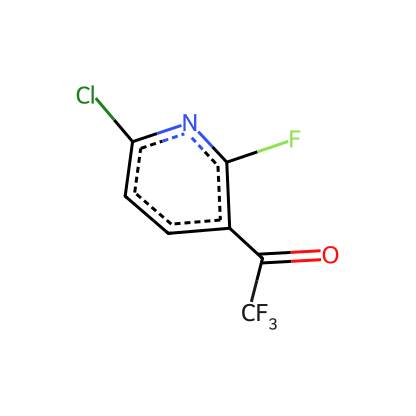 O=C(c1ccc(Cl)nc1F)C(F)(F)F